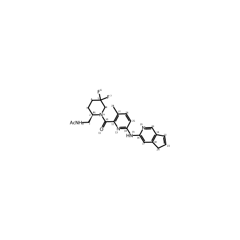 CC(=O)NC[C@H]1CCC(F)(F)CN1C(=O)c1nc(Nc2cc3c(cn2)C=CC3)ccc1C